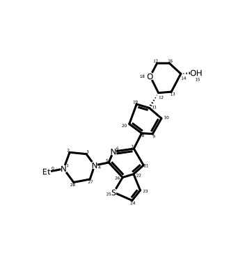 CCN1CCN(c2nc(-c3ccc([C@H]4C[C@@H](O)CCO4)cc3)cc3ccsc23)CC1